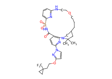 CC1(C)CC2CCCOCCNc3cccc(n3)S(=O)(=O)NC(=O)c3ccc(-n4ccc(OCCC5(C(F)(F)F)CC5)n4)nc3N1C2